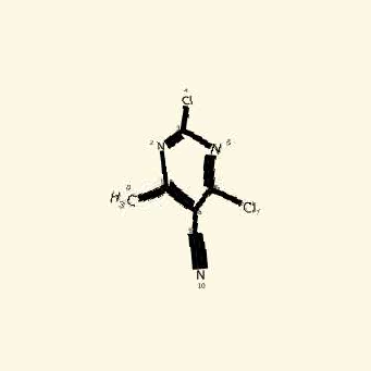 Cc1nc(Cl)nc(Cl)c1C#N